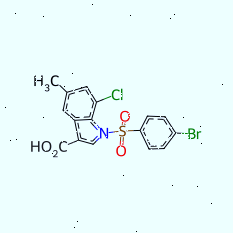 Cc1cc(Cl)c2c(c1)c(C(=O)O)cn2S(=O)(=O)c1ccc(Br)cc1